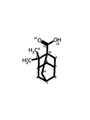 CC1(C)C2CC3CC(C2)CC1(C(=O)O)C3